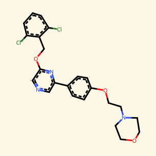 Clc1cccc(Cl)c1COc1[c]ncc(-c2ccc(OCCN3CCOCC3)cc2)n1